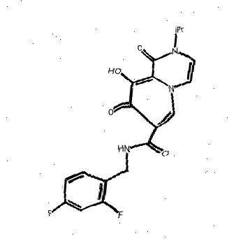 CC(C)n1ccn2cc(C(=O)NCc3ccc(F)cc3F)c(=O)c(O)c2c1=O